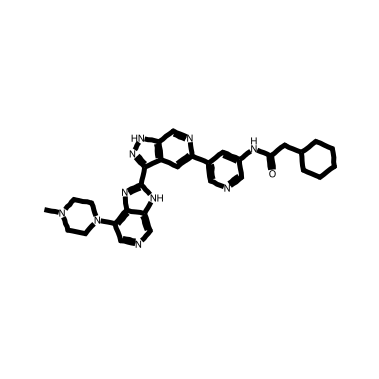 CN1CCN(c2cncc3[nH]c(-c4n[nH]c5cnc(-c6cncc(NC(=O)CC7CCCCC7)c6)cc45)nc23)CC1